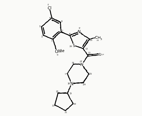 COc1ccc(Cl)cc1-c1nc(C)c(C(=O)N2CCN(C3CCCC3)CC2)s1